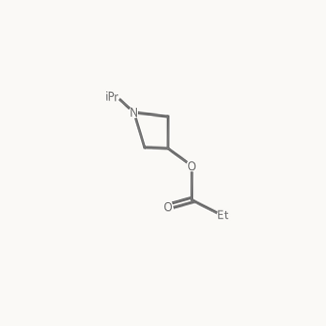 CCC(=O)OC1CN(C(C)C)C1